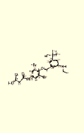 CCNc1cc(COc2c(Br)cc(NC(=O)CC(=O)O)cc2Br)cc(C(F)(F)F)c1